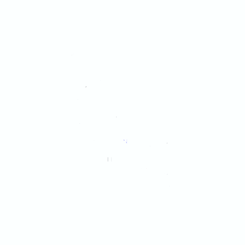 CN(Cc1ccc(C(=O)O)o1)c1ccc(Cc2ccccc2)cc1